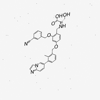 Cc1c(COc2ccc(CN[C@@H](CO)C(=O)O)c(OCc3cccc(C#N)c3)c2)cccc1-c1ccc2nccn2c1